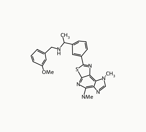 CNc1nc2sc(-c3cccc(C(C)NCc4cccc(OC)c4)c3)nc2c2c1ncn2C